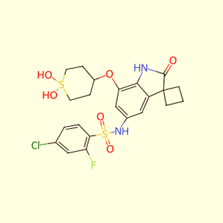 O=C1Nc2c(OC3CCS(O)(O)CC3)cc(NS(=O)(=O)c3ccc(Cl)cc3F)cc2C12CCC2